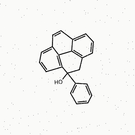 OC1(c2ccccc2)Cc2cccc3ccc4cccc1c4c23